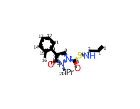 C=CCNSC(=O)n1cc(-c2ccccc2C)c(=O)n1C(C)C